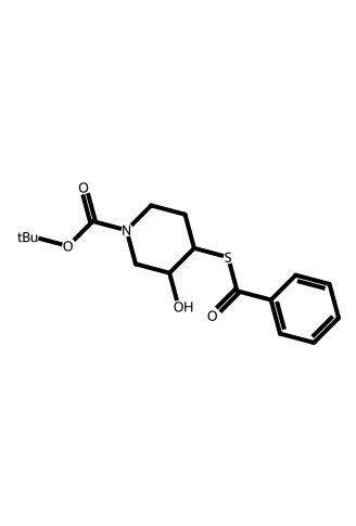 CC(C)(C)OC(=O)N1CCC(SC(=O)c2ccccc2)C(O)C1